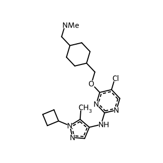 CNCC1CCC(COc2nc(Nc3cnn(C4CCC4)c3C)ncc2Cl)CC1